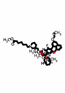 COCOc1cc(-c2c(F)cc3c(N4C[C@H]5CC[C@@](C)(C4)N5C(=O)OC(C)(C)C)nc(OC[C@]4(C)CCCN(CCCCCCC(=O)OC)C4)nc3c2F)c2c(Cl)cccc2c1